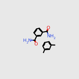 Cc1cccc(C)c1.NC(=O)c1cccc(C(N)=O)c1